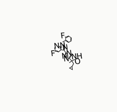 CC1(CC2CC2)C(=O)Nc2nc(-c3nn(Cc4ccccc4F)c4ncc(F)cc34)nnc21